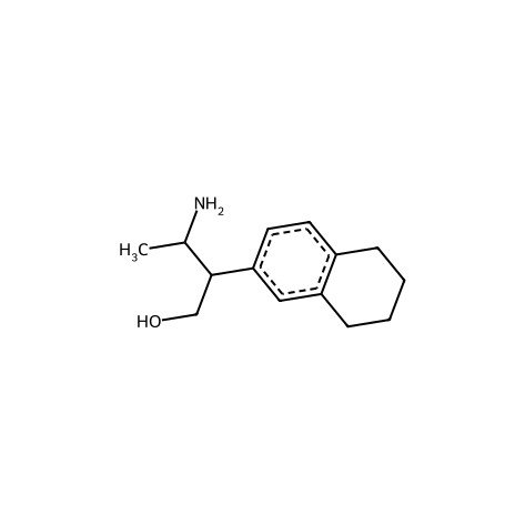 CC(N)C(CO)c1ccc2c(c1)CCCC2